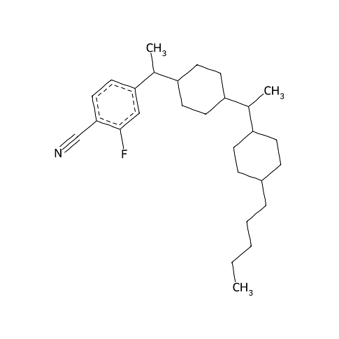 CCCCCC1CCC(C(C)C2CCC(C(C)c3ccc(C#N)c(F)c3)CC2)CC1